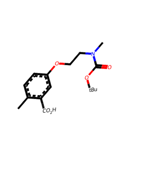 Cc1ccc(OCCN(C)C(=O)OC(C)(C)C)cc1C(=O)O